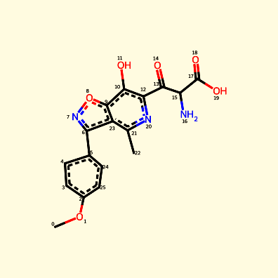 COc1ccc(-c2noc3c(O)c(C(=O)C(N)C(=O)O)nc(C)c23)cc1